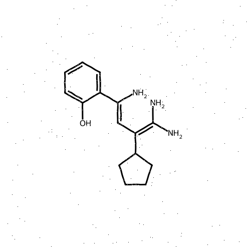 NC(N)=C(/C=C(\N)c1ccccc1O)C1CCCC1